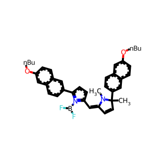 CCCCOc1ccc2cc(-c3ccc(/C=C4/C=CC(C)(c5ccc6cc(OCCCC)ccc6c5)N4C)n3B(F)F)ccc2c1